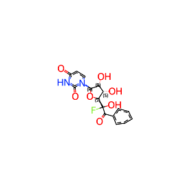 O=C(c1ccccc1)C(O)(F)[C@H]1O[C@@H](n2ccc(=O)[nH]c2=O)[C@H](O)[C@@H]1O